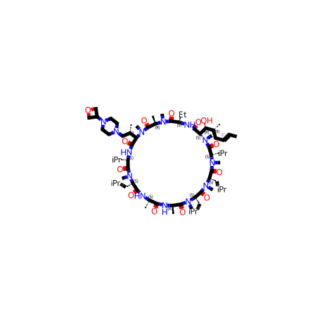 C/C=C/C[C@@H](C)[C@@H](O)[C@H]1C(=O)N[C@@H](CC)C(=O)N(C)[C@H](C)C(=O)N(C)C([C@@H](C)CN2CCN(C3COC3)CC2)C(=O)N[C@@H](C(C)C)C(=O)N(C)[C@@H](CC(C)C)C(=O)N[C@@H](C)C(=O)N[C@H](C)C(=O)N(C)[C@@H](CC(C)C)C(=O)N(C)[C@@H](CC(C)C)C(=O)N(C)[C@@H](C(C)C)C(=O)N1C